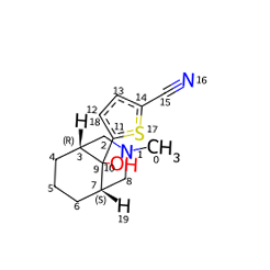 CN1C[C@H]2CCC[C@@H](C1)C2(O)c1ccc(C#N)s1